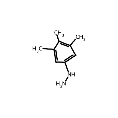 Cc1cc(NN)cc(C)c1C